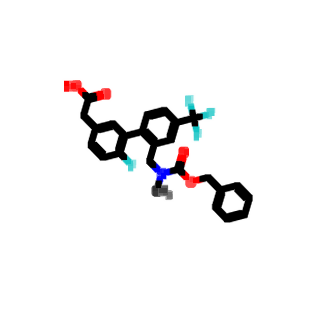 CN(Cc1cc(C(F)(F)F)ccc1-c1cc(CC(=O)O)ccc1F)C(=O)OCc1ccccc1